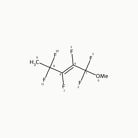 COC(F)(F)/C(F)=C(\F)C(C)(F)F